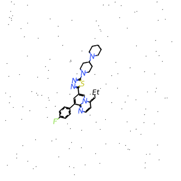 CC/C=C1/C=CN=C2C(c3ccc(F)cc3)=CC(c3nnc(N4CCC(N5CCCCC5)CC4)s3)=CN21